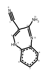 N#CC1=CNc2ccccc2N=C1N